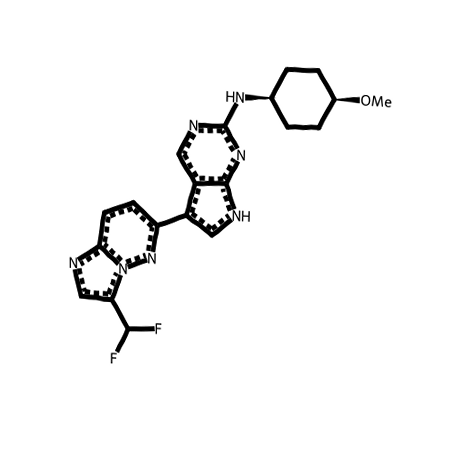 CO[C@H]1CC[C@@H](Nc2ncc3c(-c4ccc5ncc(C(F)F)n5n4)c[nH]c3n2)CC1